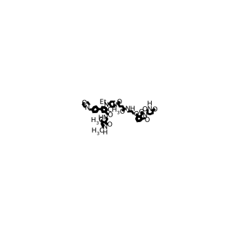 CCN(c1cc(-c2ccc(CN3CCOCC3)cc2)cc(C(=O)NCc2c(C)cc(C)[nH]c2=O)c1C)C1CCN(C(=O)CCC(=O)NCCCOc2cccc3c2C(=O)N(C2CCC(=O)NC2=O)C3=O)CC1